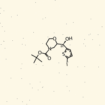 CC(C)(C)OC(=O)N1CCOC([C@@H](O)c2ccc(I)s2)C1